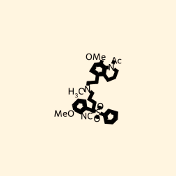 COc1cccc(C(C#N)(CCCN(C)CCc2ccc(OC)c3c2CCCN3C(C)=O)S(=O)(=O)c2ccccc2)c1